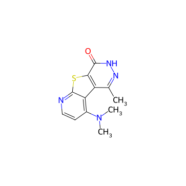 Cc1n[nH]c(=O)c2sc3nccc(N(C)C)c3c12